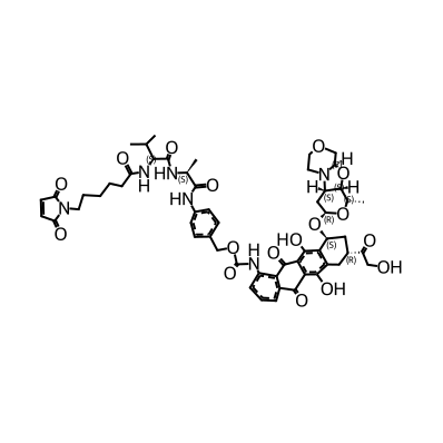 CC(C)[C@H](NC(=O)CCCCCN1C(=O)C=CC1=O)C(=O)N[C@@H](C)C(=O)Nc1ccc(COC(=O)Nc2cccc3c2C(=O)c2c(O)c4c(c(O)c2C3=O)C[C@@H](C(=O)CO)C[C@@H]4O[C@H]2C[C@H]3[C@H](O[C@@H]4COCCN43)[C@H](C)O2)cc1